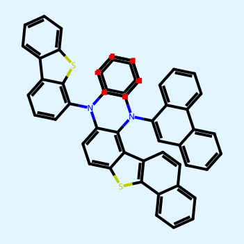 c1ccc(N(c2ccc3sc4c5ccccc5ccc4c3c2N(c2ccccc2)c2cc3ccccc3c3ccccc23)c2cccc3c2sc2ccccc23)cc1